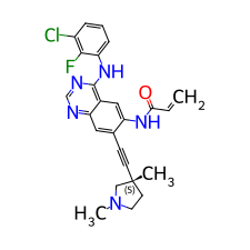 C=CC(=O)Nc1cc2c(Nc3cccc(Cl)c3F)ncnc2cc1C#C[C@]1(C)CCN(C)C1